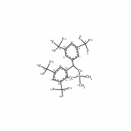 C[Si](C)(C)OC(c1cc(C(F)(F)F)cc(C(F)(F)F)c1)c1cc(C(F)(F)F)cc(C(F)(F)F)c1